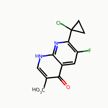 O=C(O)c1c[nH]c2nc(C3(Cl)CC3)c(F)cc2c1=O